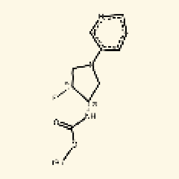 CC(C)(C)OC(=O)N[C@H]1CN(c2cccnc2)C[C@H]1F